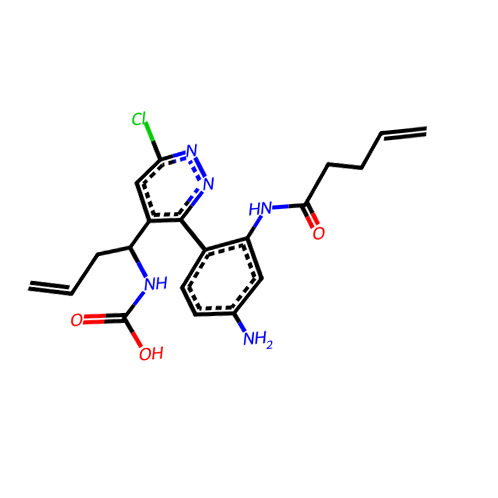 C=CCCC(=O)Nc1cc(N)ccc1-c1nnc(Cl)cc1C(CC=C)NC(=O)O